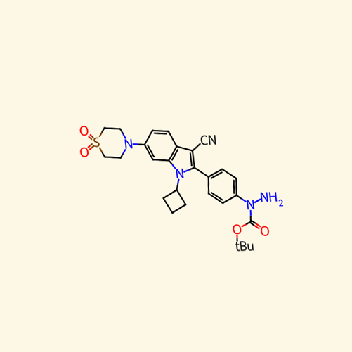 CC(C)(C)OC(=O)N(N)c1ccc(-c2c(C#N)c3ccc(N4CCS(=O)(=O)CC4)cc3n2C2CCC2)cc1